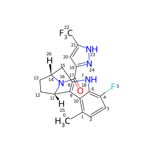 Cc1ccc(F)c2[nH]c3c(c12)[C@@H]1CC[C@H](C3)N1C(=O)c1cc(C(F)(F)F)[nH]n1